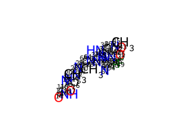 C[C@H]1CN(c2cccc3c(C4CCC(=O)NC4=O)nn(C)c23)CCN1CC1CCN(c2cc(Nc3ccc4c(c3)c3c(c(=O)n4C)OCC(F)(F)[C@H](C4CC4)N3)n3ncc(C#N)c3n2)CC1